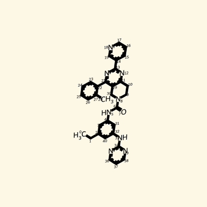 CCc1cc(NC(=O)N2CCc3nc(-c4cccnc4)nc(-c4ccccc4C)c3C2)cc(Nc2ncccn2)c1